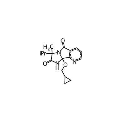 CC(C)C1(C)C(=O)NC2(OCC3CC3)c3ncccc3C(=O)N21